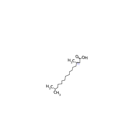 C/C(=C\C(=O)O)CCCCCCCCCCCC(C)C